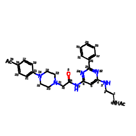 CC(=O)NCCNc1cc(NC(=O)CN2CCN(c3ccc(C(C)=O)cc3)CC2)nc(-c2ccccc2)n1